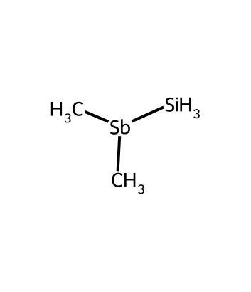 [CH3][Sb]([CH3])[SiH3]